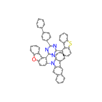 c1ccc(-c2ccc(-c3nc(-c4c(-n5c6ccccc6c6cc7ccccc7cc65)ccc5oc6ccccc6c45)nc(-c4cccc5sc6ccccc6c45)n3)cc2)cc1